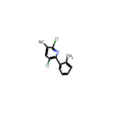 Cc1ccccc1-c1nc(Cl)c(C#N)cc1Cl